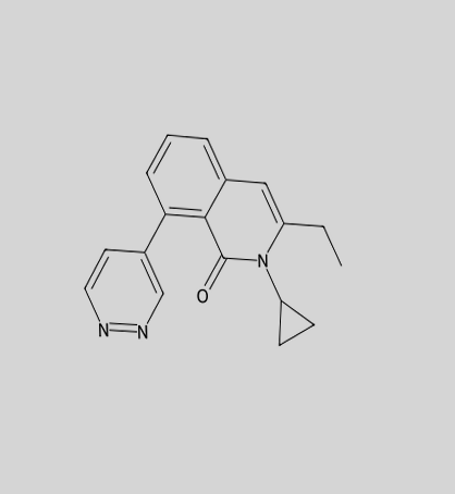 CCc1cc2cccc(-c3ccnnc3)c2c(=O)n1C1CC1